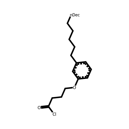 CCCCCCCCCCCCCCCc1cccc(OCCCC(=O)Cl)c1